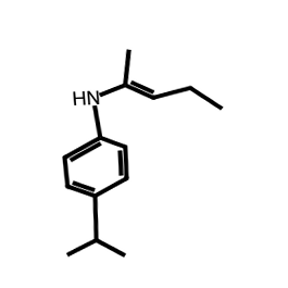 CCC=C(C)Nc1ccc(C(C)C)cc1